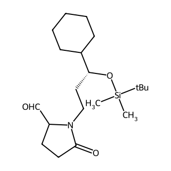 CC(C)(C)[Si](C)(C)O[C@H](CCN1C(=O)CCC1C=O)C1CCCCC1